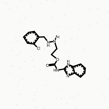 CC(=O)N(CCOC(=O)Nc1nc2ccccc2[nH]1)NCc1ccccc1Cl